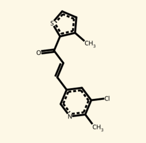 Cc1ccsc1C(=O)/C=C/c1cnc(C)c(Cl)c1